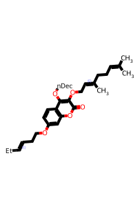 CC/C=C/CCOc1ccc2c(OCCCCCCCCCC)c(OC/C=C(\C)CCC=C(C)C)c(=O)oc2c1